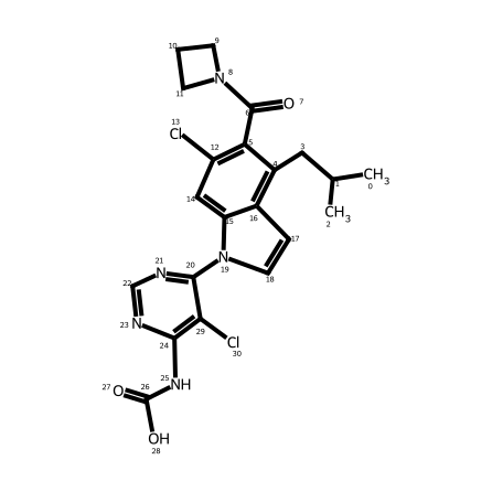 CC(C)Cc1c(C(=O)N2CCC2)c(Cl)cc2c1ccn2-c1ncnc(NC(=O)O)c1Cl